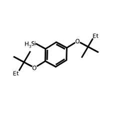 CCC(C)(C)Oc1ccc(OC(C)(C)CC)c([SiH3])c1